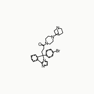 O=C(CCC1(c2ccc(Br)cc2)c2ccccc2-c2nccn21)N1CCN(C2CN3CCC2CC3)CC1